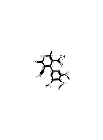 COc1cc(-c2c(C(=O)O)c(C)[nH]c(=S)c2C#N)cc(OC)c1OC